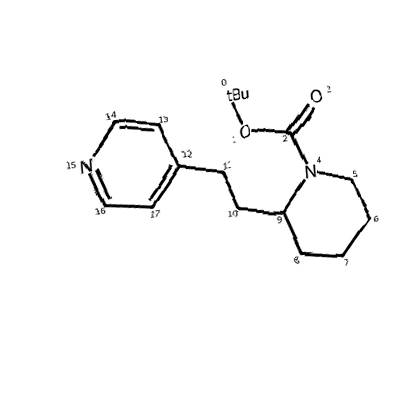 CC(C)(C)OC(=O)N1CCCCC1CCc1ccncc1